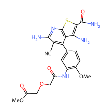 COC(=O)COCC(=O)Nc1cc(-c2c(C#N)c(N)nc3sc(C(N)=O)c(N)c23)ccc1OC